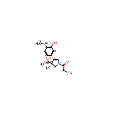 C[CH]C(=O)N1C[C@@H](c2ccc(OC)c(O)c2)[C@](C)([C@@H](C)O)C1